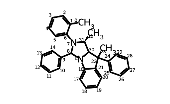 Cc1ccccc1N1C(c2ccccc2)N2c3ccccc3C(C)(c3ccccc3)C2[C@@H]1C